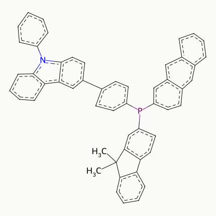 CC1(C)c2ccccc2-c2ccc(P(c3ccc(-c4ccc5c(c4)c4ccccc4n5-c4ccccc4)cc3)c3ccc4cc5ccccc5cc4c3)cc21